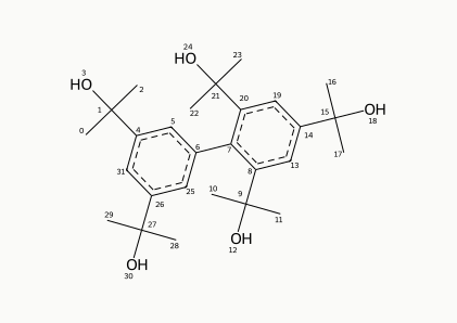 CC(C)(O)c1cc(-c2c(C(C)(C)O)cc(C(C)(C)O)cc2C(C)(C)O)cc(C(C)(C)O)c1